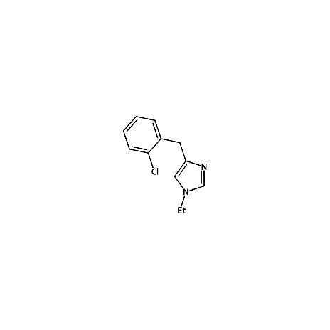 CCn1cnc(Cc2ccccc2Cl)c1